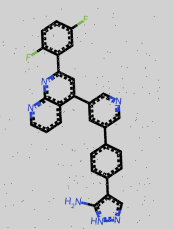 Nc1[nH]ncc1-c1ccc(-c2cncc(-c3cc(-c4cc(F)ccc4F)nc4ncccc34)c2)cc1